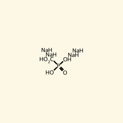 O=C(O)P(=O)(O)O.[NaH].[NaH].[NaH].[NaH]